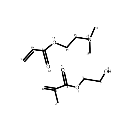 C=C(C)C(=O)OCCO.C=CC(=O)OCCN(C)C